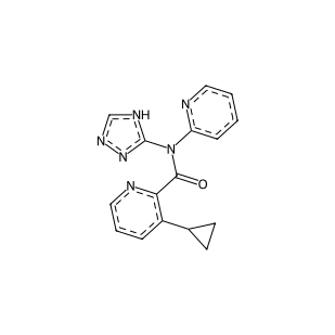 O=C(c1ncccc1C1CC1)N(c1ccccn1)c1nnc[nH]1